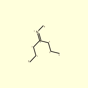 [CH2]CC/C(CCC)=N/C